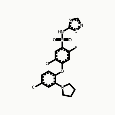 O=S(=O)(Nc1ncns1)c1cc(Cl)c(Oc2ccc(Cl)cc2N2CCCC2)cc1F